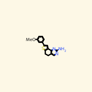 COc1cccc(-c2cc3c(s2)CCc2cnc(N)nc2-3)c1